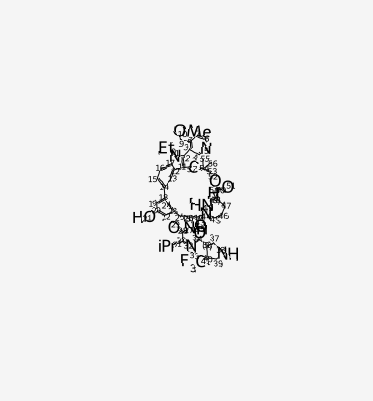 CCn1c(-c2cnccc2COC)c2c3cc(ccc31)-c1cc(O)cc(c1)C[C@H](NC(=O)C(C(C)C)N(C)C(=O)[C@@H]1CNCC1C(F)(F)F)C(=O)N1CCC[C@H](N1)C(=O)OCC(C)(C)C2